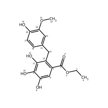 CCOC(=O)c1cc(O)c(O)c(O)c1Cc1ccc(O)c(OC)c1